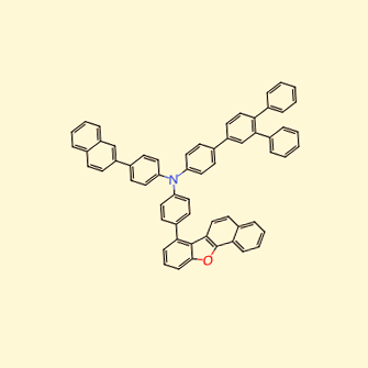 c1ccc(-c2ccc(-c3ccc(N(c4ccc(-c5ccc6ccccc6c5)cc4)c4ccc(-c5cccc6oc7c8ccccc8ccc7c56)cc4)cc3)cc2-c2ccccc2)cc1